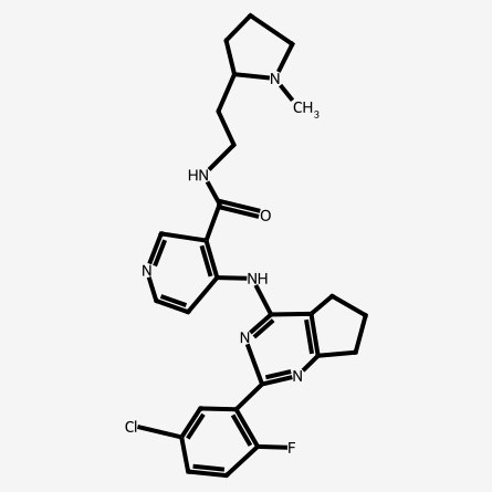 CN1CCCC1CCNC(=O)c1cnccc1Nc1nc(-c2cc(Cl)ccc2F)nc2c1CCC2